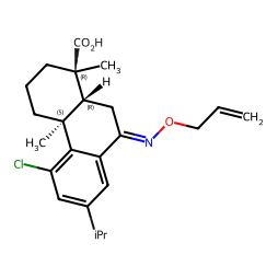 C=CCON=C1C[C@H]2[C@](C)(C(=O)O)CCC[C@]2(C)c2c(Cl)cc(C(C)C)cc21